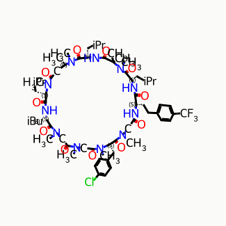 CC[C@H](C)[C@@H]1NC(=O)[C@H](CC(C)C)N(C)C(=O)C[C@@H](C)N(C)C(=O)[C@H](CC(C)C)NC(=O)C(C)(C)N(C)C(=O)[C@H](CC(C)C)NC(=O)[C@H](CCc2ccc(C(F)(F)F)cc2)NC(=O)CN(C)C(=O)[C@H](Cc2ccc(Cl)cc2)N(C)C(=O)CN(C)C(=O)CN(C)C1=O